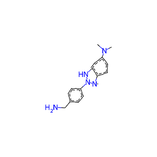 CN(C)c1ccc2c(c1)NN(c1ccc(CN)cc1)[N]2